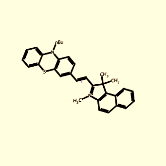 CCCCN1c2ccccc2Sc2cc(/C=C/C3=[N+](C)c4ccc5ccccc5c4C3(C)C)ccc21